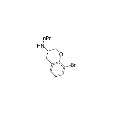 CCCNC1COc2c(Br)cccc2C1